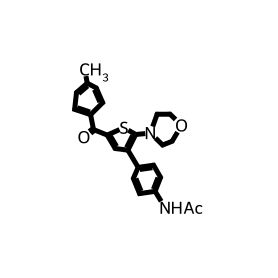 CC(=O)Nc1ccc(-c2cc(C(=O)c3ccc(C)cc3)sc2N2CCOCC2)cc1